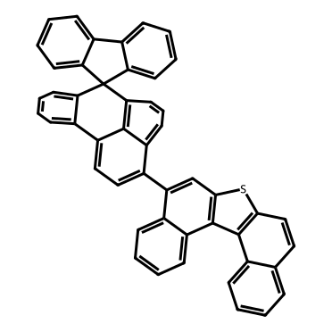 c1ccc2c(c1)-c1ccccc1C21c2ccccc2-c2ccc(-c3cc4sc5ccc6ccccc6c5c4c4ccccc34)c3cccc1c23